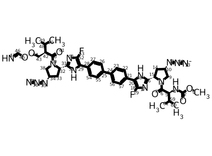 COC(=O)N[C@H](C(=O)N1C[C@@H](N=[N+]=[N-])C[C@H]1c1nc(F)c(-c2ccc(-c3ccc(-c4[nH]c([C@@H]5C[C@H](N=[N+]=[N-])CN5C(=O)[C@@H](COOC=N)C(C)C)nc4F)cc3)cc2)[nH]1)C(C)C